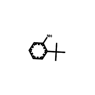 CC(C)(C)c1ccccc1[NH]